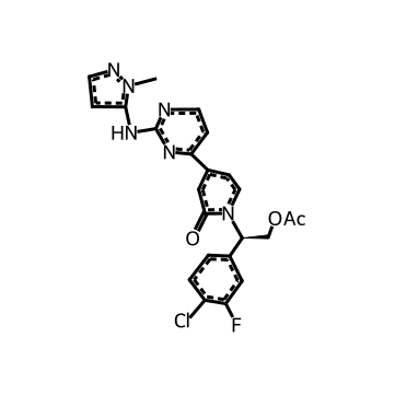 CC(=O)OC[C@@H](c1ccc(Cl)c(F)c1)n1ccc(-c2ccnc(Nc3ccnn3C)n2)cc1=O